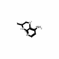 CC1COc2c(N)ccnc2O1